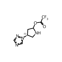 O=C(OC1C[C@H](n2cncn2)CN1)C(F)(F)F